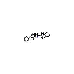 C(=C\c1nc(-c2ccccc2)c[nH]1)/c1ncc2ccccc2n1